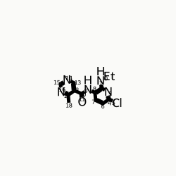 CCNc1nc(Cl)ccc1NC(=O)c1cncnc1C